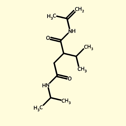 C=C(C)NC(=O)C(CC(=O)NC(C)C)C(C)C